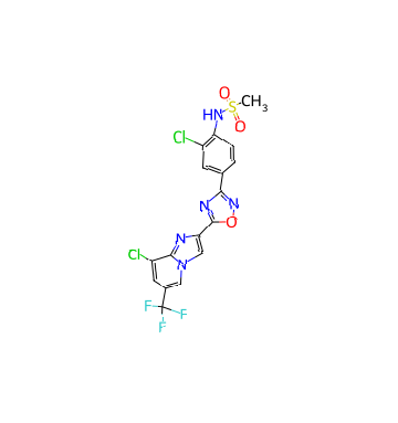 CS(=O)(=O)Nc1ccc(-c2noc(-c3cn4cc(C(F)(F)F)cc(Cl)c4n3)n2)cc1Cl